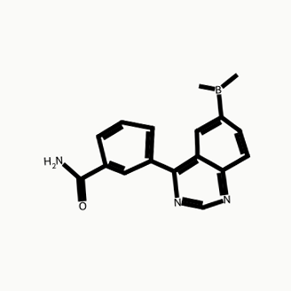 CB(C)c1ccc2ncnc(-c3cccc(C(N)=O)c3)c2c1